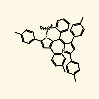 COc1ccccc1/C(=C1/N=C(c2ccc(C)cc2)C=C1c1ccc(C)cc1)c1c(-c2ccc(C)cc2)cc(-c2ccc(C)cc2)n1B(F)F